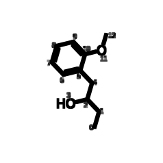 CCC(O)Cc1ccccc1OC